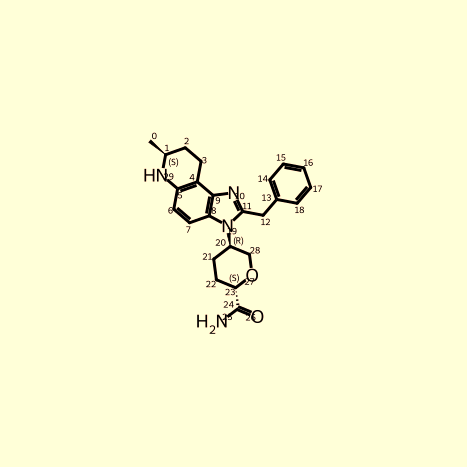 C[C@H]1CCc2c(ccc3c2nc(Cc2ccccc2)n3[C@@H]2CC[C@@H](C(N)=O)OC2)N1